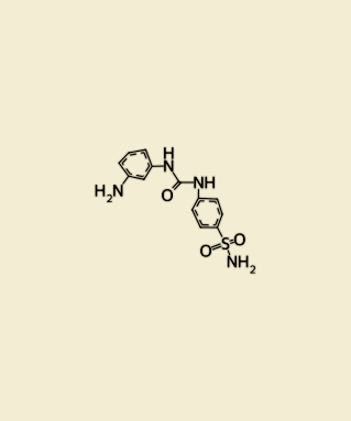 Nc1cccc(NC(=O)Nc2ccc(S(N)(=O)=O)cc2)c1